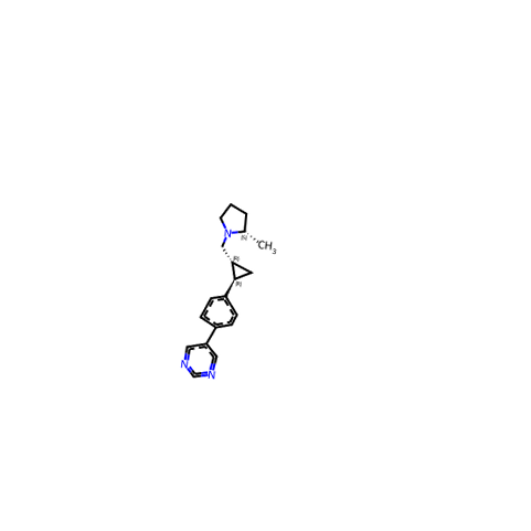 C[C@H]1CCCN1C[C@@H]1C[C@H]1c1ccc(-c2cncnc2)cc1